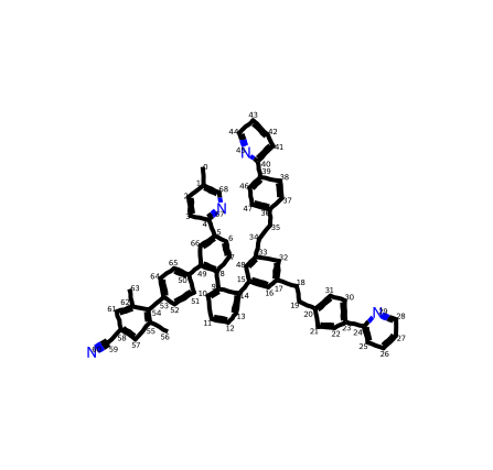 Cc1ccc(-c2ccc(-c3ccccc3-c3cc(CCc4ccc(-c5ccccn5)cc4)cc(CCc4ccc(-c5ccccn5)cc4)c3)c(-c3ccc(-c4c(C)cc(C#N)cc4C)cc3)c2)nc1